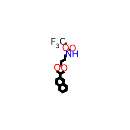 O=C(NCCCC1OCC(c2ccc3ccccc3c2)CO1)OCC(F)(F)F